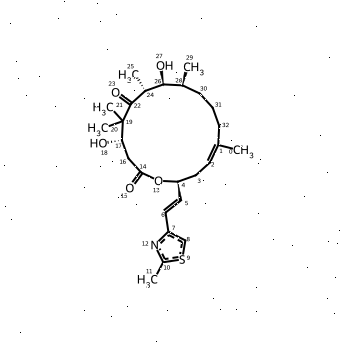 C/C1=C/C[C@@H](C=Cc2csc(C)n2)OC(=O)C[C@H](O)C(C)(C)C(=O)[C@H](C)[C@@H](O)[C@@H](C)CCC1